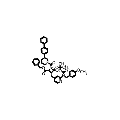 COc1ccc(CN(C(=O)OC(C)(C)C)c2cc(C[C@H]3C(=O)N(C(=O)N4CCCC(c5ccc(-c6ccccc6)cc5)C4)[C@@H]3C(=O)OCc3ccccc3)ccn2)cc1